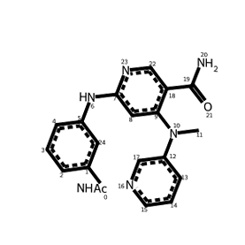 CC(=O)Nc1cccc(Nc2cc(N(C)c3cccnc3)c(C(N)=O)cn2)c1